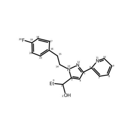 CCC(O)c1cc(-c2ccccn2)nn1CCc1ccc(F)cc1